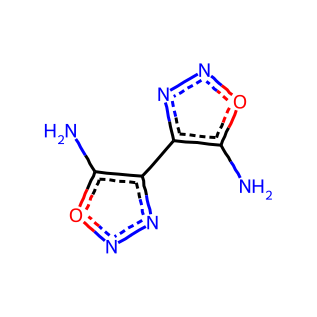 Nc1onnc1-c1nnoc1N